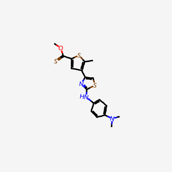 COC(=S)c1cc(-c2csc(Nc3ccc(N(C)C)cc3)n2)c(C)s1